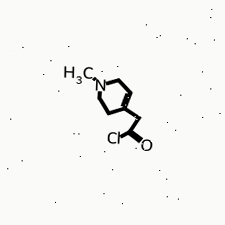 CN1CC=C(CC(=O)Cl)CC1